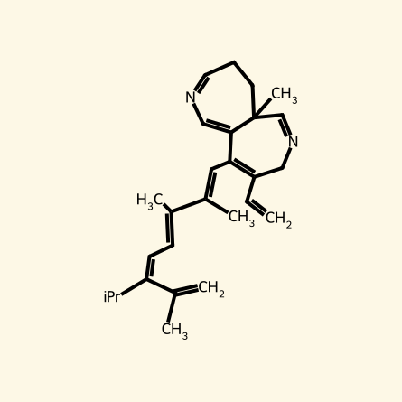 C=CC1=C(/C=C(C)/C(C)=C/C=C(\C(=C)C)C(C)C)C2=CN=CCCC2(C)C=NC1